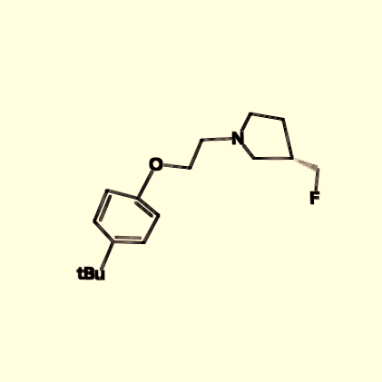 CC(C)(C)c1ccc(OCCN2CC[C@H](CF)C2)cc1